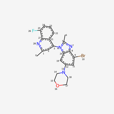 Cc1cc(-n2c(C)nc3c(Br)cc(N4CCOCC4)cc32)c2cccc(F)c2n1